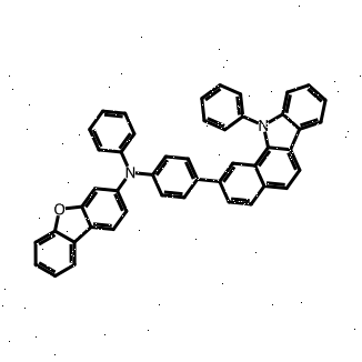 c1ccc(N(c2ccc(-c3ccc4ccc5c6ccccc6n(-c6ccccc6)c5c4c3)cc2)c2ccc3c(c2)oc2ccccc23)cc1